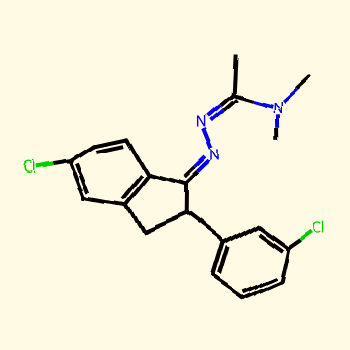 CC(=NN=C1c2ccc(Cl)cc2CC1c1cccc(Cl)c1)N(C)C